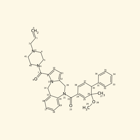 C=CCN1CCN(C(=O)c2ccc3n2Cc2ccccc2N(C(=O)C2=CC(C)(OC)C(c4ccccc4)C=C2)C3)CC1